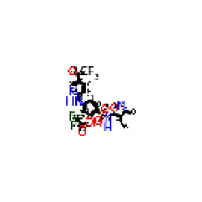 Cc1noc(NS(=O)(=O)c2ccc(Nc3ccc(C(=O)C(F)(F)F)cn3)cc2)c1C.O=C(O)C(F)(F)F